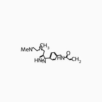 C=CC(=O)NCc1ccc(-c2n[nH]cc2CN(C)CCNC)cc1